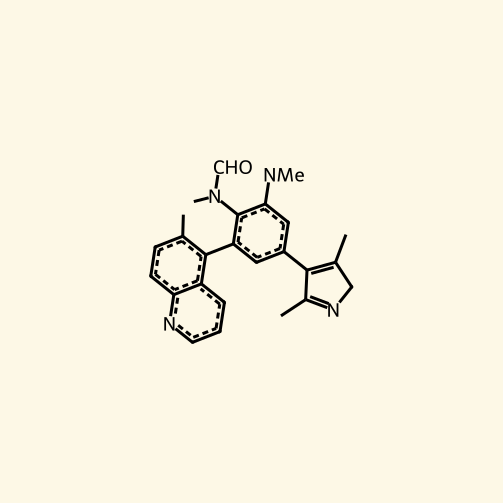 CNc1cc(C2=C(C)CN=C2C)cc(-c2c(C)ccc3ncccc23)c1N(C)C=O